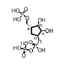 O=P(O)(O)OC[C@H]1C[C@H](OP(=O)(O)OP(=O)(O)O)[C@H](O)[C@@H]1O